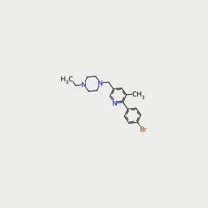 CCN1CCN(Cc2cnc(-c3ccc(Br)cc3)c(C)c2)CC1